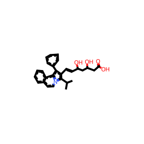 CC(C)c1c(C=CC(O)CC(O)CC(=O)O)c(-c2ccccc2)c2c3ccccc3ccn12